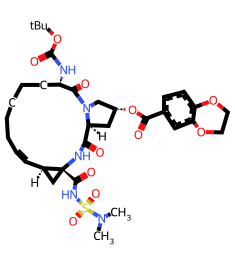 CN(C)S(=O)(=O)NC(=O)[C@@]12C[C@H]1/C=C\CCCCC[C@H](NC(=O)OC(C)(C)C)C(=O)N1C[C@H](OC(=O)c3ccc4c(c3)OCCO4)C[C@H]1C(=O)N2